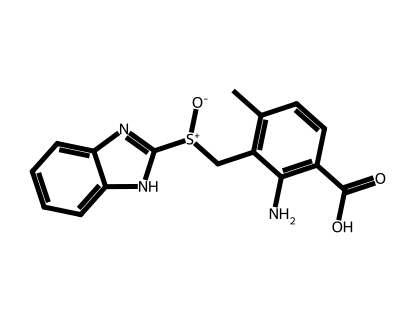 Cc1ccc(C(=O)O)c(N)c1C[S+]([O-])c1nc2ccccc2[nH]1